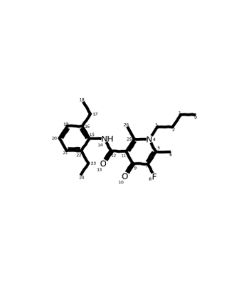 CCCCn1c(C)c(F)c(=O)c(C(=O)Nc2c(CC)cccc2CC)c1C